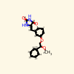 COC(COc1cccc(C=C2NC(=O)NC2=O)c1)c1ccccc1